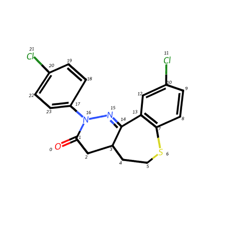 O=C1CC2CCSc3ccc(Cl)cc3C2=NN1c1ccc(Cl)cc1